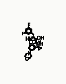 O=C(O)N[C@@H](Cc1cc(F)cc(F)c1)[C@@H](O)CNC1(c2cccc(N3CCOCC3)c2)CC1